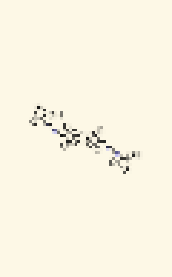 CC1(C)CC(=O)C(/C=C/C=C/C=C2C(=O)OC3(CCC4(CC3)OC(=O)C(=C/C=C/C=C/C3=C(O)CC(C)(C)CC3=O)C(=O)O4)OC2=O)=C(O)C1